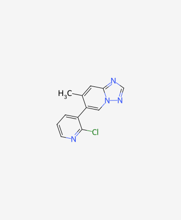 Cc1cc2ncnn2cc1-c1cccnc1Cl